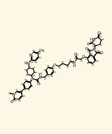 Cn1cc(-c2ccc(N(C(=O)NCc3ccc(OCCCCNC(=O)COc4cccc5c4C(=O)N(C4CCC(=O)NC4=O)C5=O)cc3)C3CCC(Nc4ccc(C#N)cn4)CC3)cc2)ccc1=O